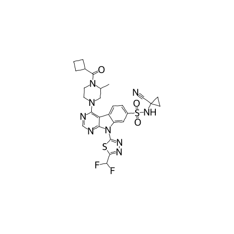 CC1CN(c2ncnc3c2c2ccc(S(=O)(=O)NC4(C#N)CC4)cc2n3-c2nnc(C(F)F)s2)CCN1C(=O)C1CCC1